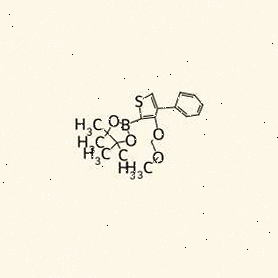 COCOc1c(-c2ccccc2)csc1B1OC(C)(C)C(C)(C)O1